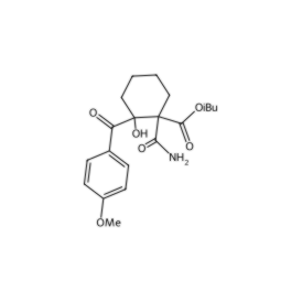 COc1ccc(C(=O)C2(O)CCCCC2(C(N)=O)C(=O)OCC(C)C)cc1